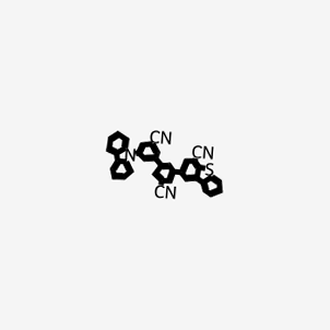 N#Cc1cc(-c2cc(C#N)cc(-n3c4ccccc4c4ccccc43)c2)cc(-c2cc(C#N)c3sc4ccccc4c3c2)c1